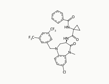 CN1C(=O)[C@H](NC(=O)C2(NC(=O)c3ccccc3)CC2)CN(Cc2cc(C(F)(F)F)cc(C(F)(F)F)c2)c2ccc(Cl)cc21